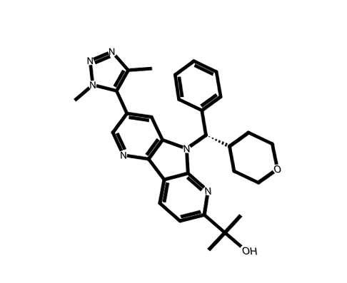 Cc1nnn(C)c1-c1cnc2c3ccc(C(C)(C)O)nc3n([C@H](c3ccccc3)C3CCOCC3)c2c1